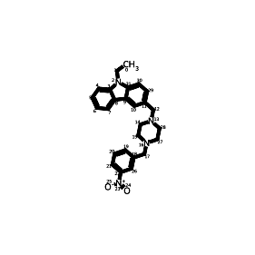 CCn1c2ccccc2c2cc(CN3CCN(Cc4cccc([N+](=O)[O-])c4)CC3)ccc21